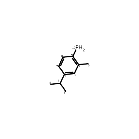 Cc1cc(C(C)C)ccc1P